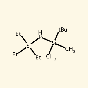 CC[Si](CC)(CC)P[Si](C)(C)C(C)(C)C